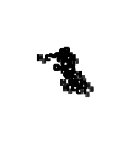 CCCC[Si](C)(C)N1C(=O)CC[C@@]2(C)C1CC(C=O)[C@@H]1[C@H]2CC[C@]2(C)C(O[SiH2]C(C)(C)C(C)C)CC[C@@H]12